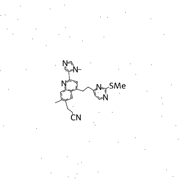 CSc1nccc(CCc2cc(-c3cncn3C)nc3cc(C)c(CCC#N)cc23)n1